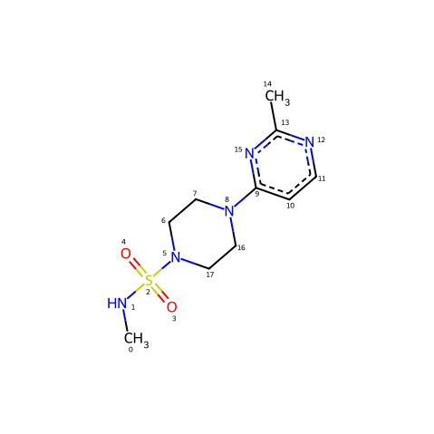 CNS(=O)(=O)N1CCN(c2ccnc(C)n2)CC1